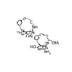 Nc1nc2nc3c1nc(O)n3Cc1cc(cc(Nc3nc4nc5c3nc(O)n5Cc3cccc(c3)OCCCCN4)c1)C/C=C/CCC(CO)N2